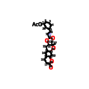 CC(=O)Oc1cccc(/C=C/C(=O)OC2Cc3cc4ccc(=O)oc4cc3OC2(C)C)c1